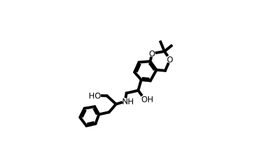 CC1(C)OCc2cc(C(O)CNC(CO)Cc3ccccc3)ccc2O1